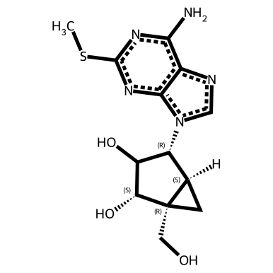 CSc1nc(N)c2ncn([C@H]3C(O)[C@@H](O)[C@]4(CO)C[C@H]34)c2n1